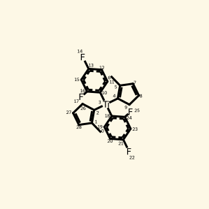 CC1=[C]([Ti]([C]2=C(C)C=CC2)([c]2ccc(F)cc2F)[c]2ccc(F)cc2F)CC=C1